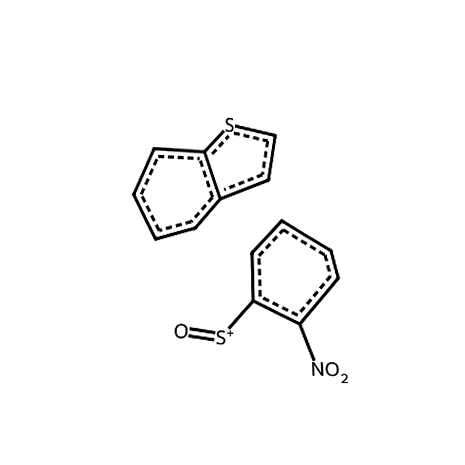 O=[S+]c1ccccc1[N+](=O)[O-].c1ccc2sccc2c1